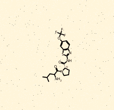 CC(C)CC(N)C(=O)N1CCC[C@H]1C(=O)Nc1nc2ccc(OC(F)(F)F)cc2s1